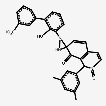 Cc1cc(C)cc(C2C3=C(C=C[N+]2=O)C=CC2(NN2c2cccc(-c4cccc(C(=O)O)c4)c2O)C3=O)c1